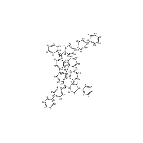 C1=CC(c2ccccc2)CC=C1N(c1ccc(-c2ccccc2)cc1)c1ccc2c(c1)C1(c3ccccc3-c3ccccc31)c1cc(N(c3ccccc3)c3ccc(-c4ccc(-c5ccccc5)cc4)cc3)ccc1-2